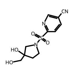 N#Cc1ccc(S(=O)(=O)N2CCC(O)(CO)C2)nc1